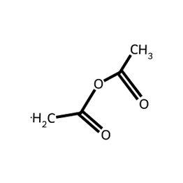 [CH2]C(=O)OC(C)=O